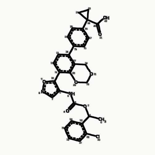 CC(OC(=O)Nc1cnoc1-c1ccc(-c2ccc(C3(C(=O)O)CC3)cc2)c2c1OCOC2)c1ccccc1Cl